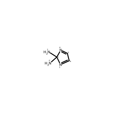 NC1(N)N=CC=N1